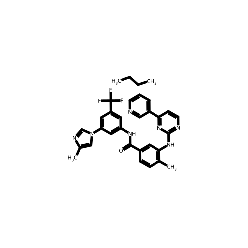 CCCC.Cc1cn(-c2cc(NC(=O)c3ccc(C)c(Nc4nccc(-c5cccnc5)n4)c3)cc(C(F)(F)F)c2)cn1